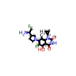 Cc1c(N2CCC(C(N)CF)C2)c(F)c(O)c2c(=O)[nH]c(=O)n(C3CC3)c12